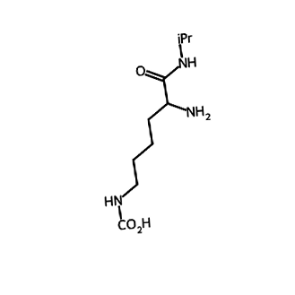 CC(C)NC(=O)C(N)CCCCNC(=O)O